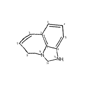 C1=Cc2cccc3c2N(C1)CN3